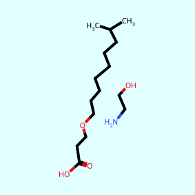 CC(C)CCCCCCCOCCC(=O)O.NCCO